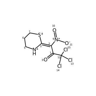 O=C(/C(=C1\NCCCS1)[N+](=O)[O-])C(Cl)(Cl)Cl